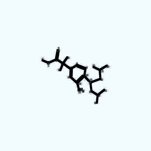 COC(=O)C(C)(C)c1ccc(N(CC(C)C)CC(C)C)c(N)c1